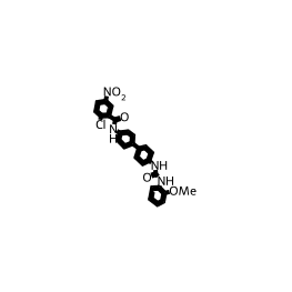 COc1ccccc1NC(=O)Nc1ccc(-c2ccc(NC(=O)c3cc([N+](=O)[O-])ccc3Cl)cc2)cc1